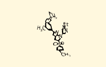 CCn1cc(N2CC(S(=O)(=O)c3ccc(C)cc3)C=C3C=C(c4cc(C)c5c(c4)CN(C)CC5)N=C32)cn1